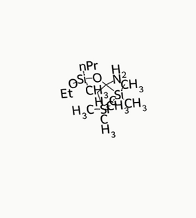 CCC[Si](C)(OCC)OC(N)(C[Si](C)(C)C)[Si](C)(C)C